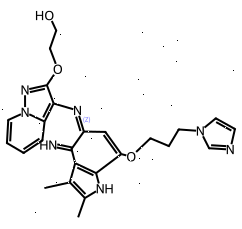 Cc1[nH]c2c(c1C)C(=N)/C(=N\c1c(OCCO)nn3ccccc13)C=C2OCCCn1ccnc1